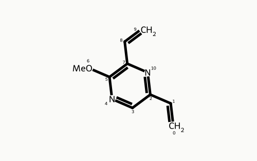 C=Cc1cnc(OC)c(C=C)n1